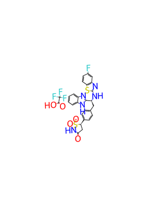 O=C(O)C(F)(F)F.O=C1C[C@H](c2ccc(C[C@H](Nc3nc4cc(F)ccc4s3)c3nc4ccccc4[nH]3)cc2)S(=O)(=O)N1